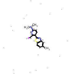 Cc1ccc2sc(-c3ccc(N(C)C)nc3CI)nc2c1